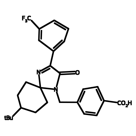 CC(C)(C)C1CCC2(CC1)N=C(c1cccc(C(F)(F)F)c1)C(=O)N2Cc1ccc(C(=O)O)cc1